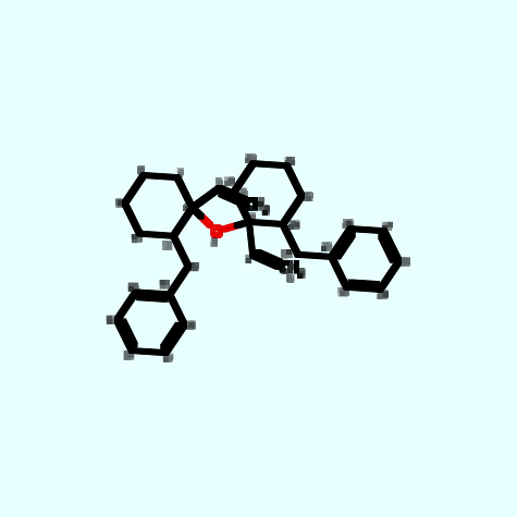 C=CC1(OC2(C=C)CCCCC2Cc2ccccc2)CCCCC1Cc1ccccc1